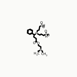 CCN(CC)CCOC(=O)CCC(c1ccccc1)N(CCC[SH](=O)=O)CCC[SH](=O)=O